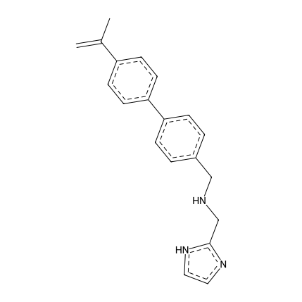 C=C(C)c1ccc(-c2ccc(CNCc3ncc[nH]3)cc2)cc1